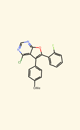 COc1ccc(-c2c(-c3ccccc3F)oc3ncnc(Cl)c23)cc1